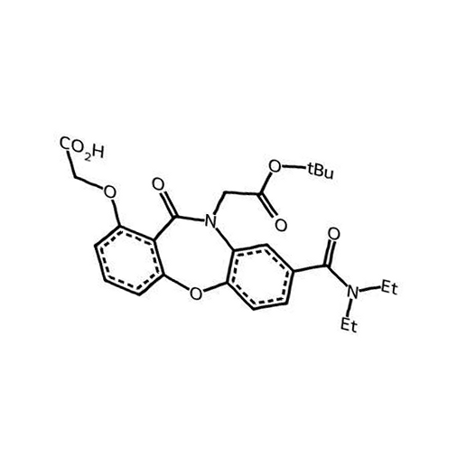 CCN(CC)C(=O)c1ccc2c(c1)N(CC(=O)OC(C)(C)C)C(=O)c1c(OCC(=O)O)cccc1O2